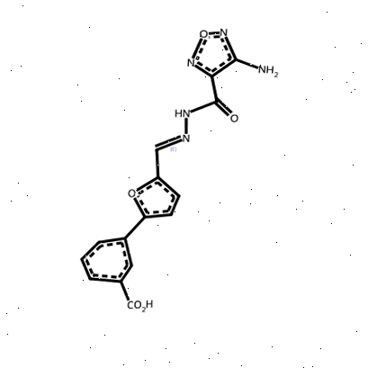 Nc1nonc1C(=O)N/N=C/c1ccc(-c2cccc(C(=O)O)c2)o1